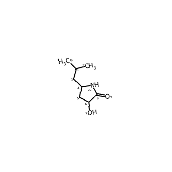 CC(C)CC1CC(O)C(=O)N1